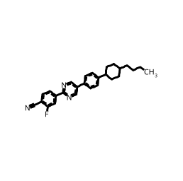 CCCCC1CCC(c2ccc(-c3cnc(-c4ccc(C#N)c(F)c4)nc3)cc2)CC1